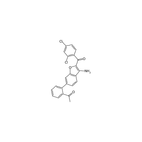 CC(=O)c1ccccc1-c1ccc2c(N)c(C(=O)c3ccc(Cl)cc3Cl)oc2c1